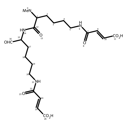 CNC(CCCCNC(=O)/C=C/C(=O)O)C(=O)NC(C=O)CCCCNC(=O)/C=C/C(=O)O